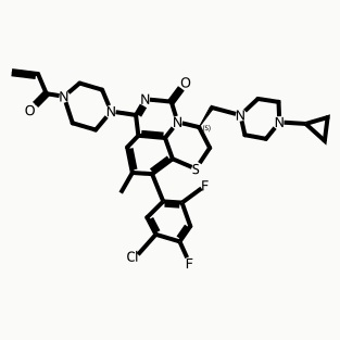 C=CC(=O)N1CCN(c2nc(=O)n3c4c(c(-c5cc(Cl)c(F)cc5F)c(C)cc24)SC[C@@H]3CN2CCN(C3CC3)CC2)CC1